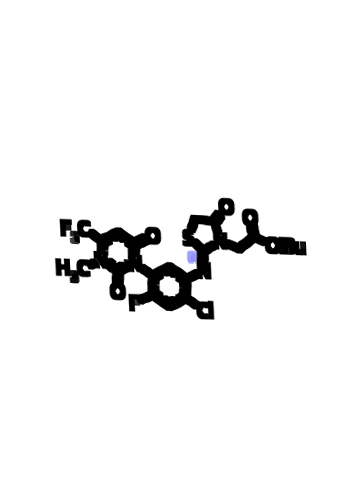 CC(C)COC(=O)CN1C(=O)CS/C1=N\c1cc(-n2c(=O)cc(C(F)(F)F)n(C)c2=O)c(F)cc1Cl